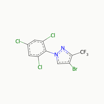 FC(F)(F)c1nn(-c2c(Cl)cc(Cl)cc2Cl)cc1Br